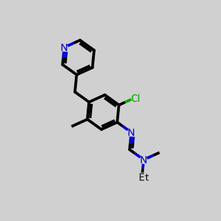 CCN(C)C=Nc1cc(C)c(Cc2cccnc2)cc1Cl